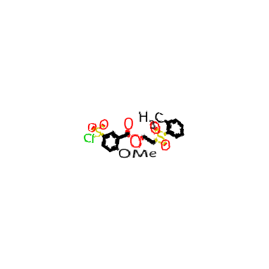 COc1ccc(S(=O)(=O)Cl)cc1C(=O)OCCS(=O)(=O)c1ccccc1C